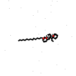 CCCCCCCCCCCCCCCCCN1C=CN(CCC)C1(Cc1ccccc1)C(CC)c1ccccc1